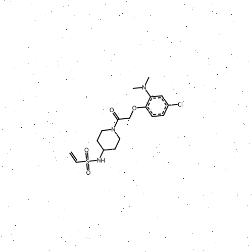 C=CS(=O)(=O)NC1CCN(C(=O)COc2ccc(Cl)cc2N(C)C)CC1